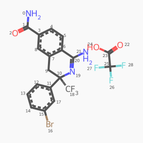 NC(=O)c1ccc2c(c1)CC(c1cccc(Br)c1)(C(F)(F)F)N=C2N.O=C(O)C(F)(F)F